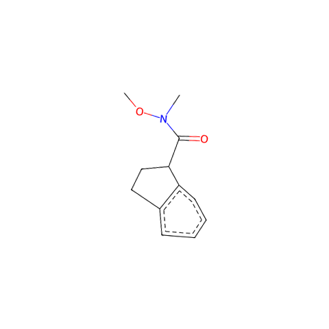 CON(C)C(=O)C1CCc2ccccc21